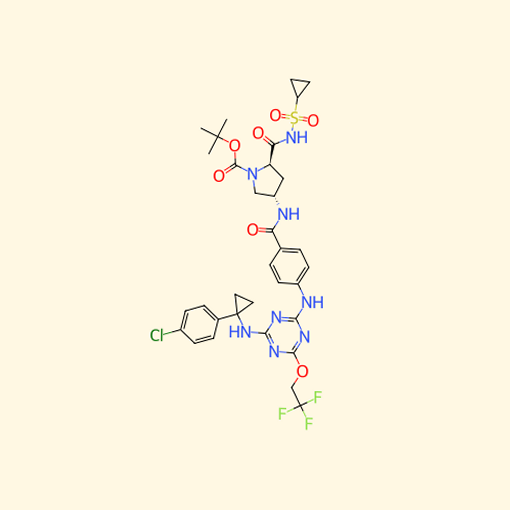 CC(C)(C)OC(=O)N1C[C@@H](NC(=O)c2ccc(Nc3nc(NC4(c5ccc(Cl)cc5)CC4)nc(OCC(F)(F)F)n3)cc2)C[C@@H]1C(=O)NS(=O)(=O)C1CC1